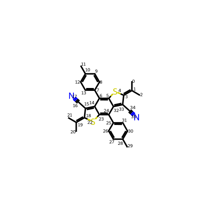 CC(C)=c1sc2c(-c3ccc(C)cc3)c3c(C#N)c(=C(C)C)sc3c(-c3ccc(C)cc3)c2c1C#N